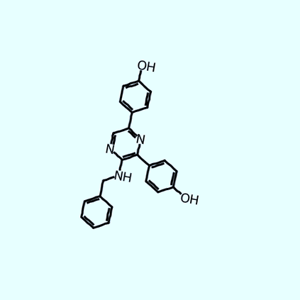 Oc1ccc(-c2cnc(NCc3ccccc3)c(-c3ccc(O)cc3)n2)cc1